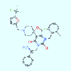 Cc1cccc(F)c1Cn1c2c(c(=O)n(C[C@H](N)c3ccccc3)c1=O)C1(CCN(Cc3ccc(C(F)(F)F)o3)CC1)OC2